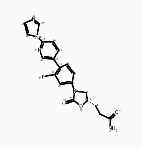 NC(=O)CC[C@H]1CN(c2ccc(-c3ccc(-n4ccnc4)nc3)c(F)c2)C(=O)O1